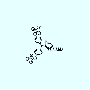 O.O=S(=O)([O-])Oc1ccc(C(c2ccc(OS(=O)(=O)[O-])cc2)c2ccccn2)cc1.[Na+].[Na+]